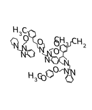 C=CCc1cc(OC)c(OCCn2c(CN3CCOC(Cc4cccc(C)c4OCCn4c(CN5CCCCC5)nc5ccccc54)C3)nc3ccccc32)c(C2CCCN(Cc3nc4ccccc4n3CCOc3ccc(OC)cc3)C2)c1